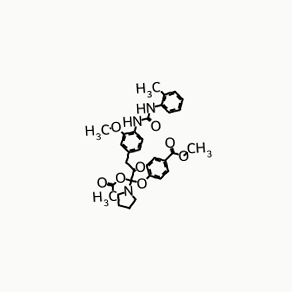 COC(=O)c1ccc(OC(OC(C)=O)(C(=O)Cc2ccc(NC(=O)Nc3ccccc3C)c(OC)c2)N2CCCC2)cc1